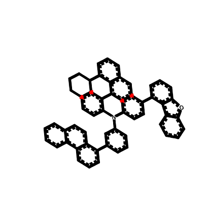 c1cc(-c2cccc3c2ccc2ccccc23)cc(N(c2ccc(-c3cccc4oc5ccccc5c34)cc2)c2ccccc2-c2cccc3cccc(C4CCCCC4)c23)c1